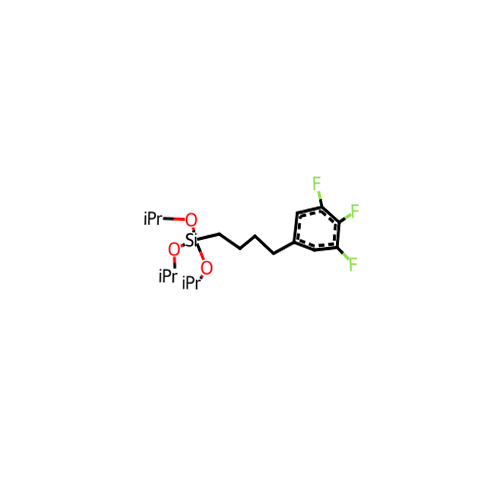 CC(C)O[Si](CCCCc1cc(F)c(F)c(F)c1)(OC(C)C)OC(C)C